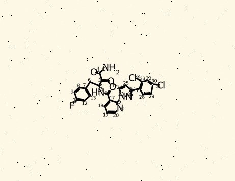 NC(=O)C(=O)C(Cc1ccc(F)cc1)NC(=O)c1cccnc1-n1ccc(-c2ccc(Cl)cc2Cl)n1